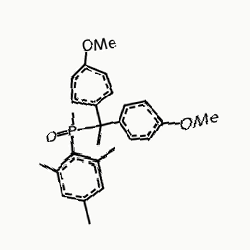 COc1ccc(C(C)(c2ccc(OC)cc2)P(C)(=O)c2c(C)cc(C)cc2C)cc1